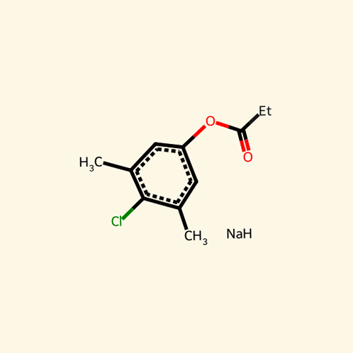 CCC(=O)Oc1cc(C)c(Cl)c(C)c1.[NaH]